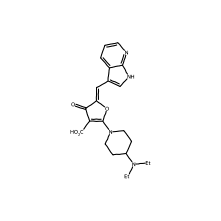 CCN(CC)C1CCN(C2=C(C(=O)O)C(=O)C(=Cc3c[nH]c4ncccc34)O2)CC1